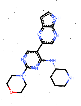 c1cc2nc(-c3cnc(N4CCOCC4)nc3N[C@H]3CCCNC3)cnc2[nH]1